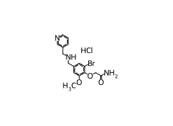 COc1cc(CNCc2cccnc2)cc(Br)c1OCC(N)=O.Cl